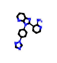 Nc1ncccc1-c1nc2cccnc2n1-c1ccc(-n2cncn2)cc1